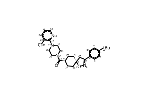 CC(C)(C)c1ccc(C2=NO[C@]3(CC[C@H](C(=O)N4CCN(c5ncccc5Cl)CC4)CC3)C2)cc1